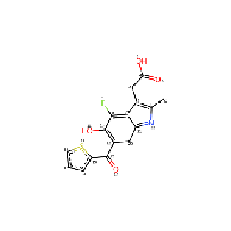 CC1=C(CC(=O)O)C2=C(F)C(O)=C(C(=O)c3cccs3)CC2=N1